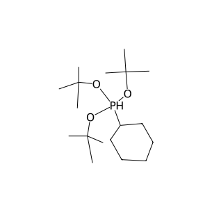 CC(C)(C)O[PH](OC(C)(C)C)(OC(C)(C)C)C1CCCCC1